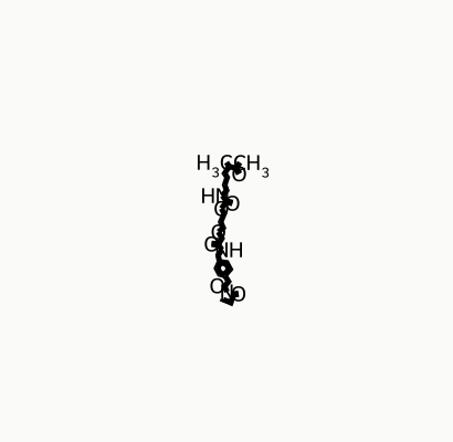 CC(=O)C(C)CCCCNC(=O)OCCCOCC(=O)NCc1ccc(CC(=O)N2CCC2=O)cc1